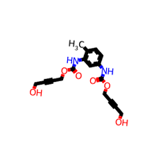 Cc1ccc(NC(=O)OCC#CCO)cc1NC(=O)OCC#CCO